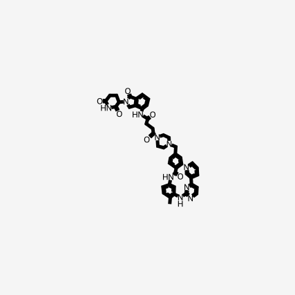 Cc1ccc(NC(=O)c2ccc(CN3CCN(C(=O)CCC(=O)Nc4cccc5c4CN(C4CCC(=O)NC4=O)C5=O)CC3)cc2)cc1Nc1nccc(-c2cccnc2)n1